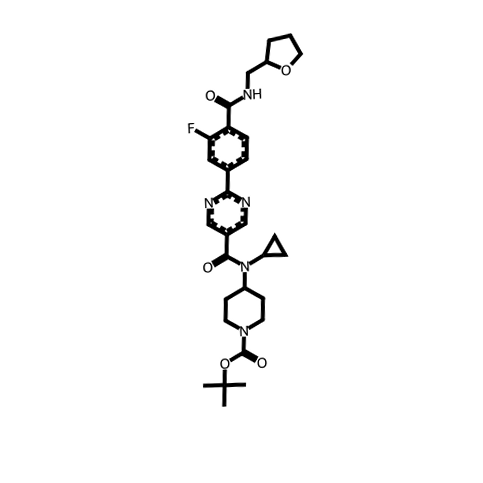 CC(C)(C)OC(=O)N1CCC(N(C(=O)c2cnc(-c3ccc(C(=O)NCC4CCCO4)c(F)c3)nc2)C2CC2)CC1